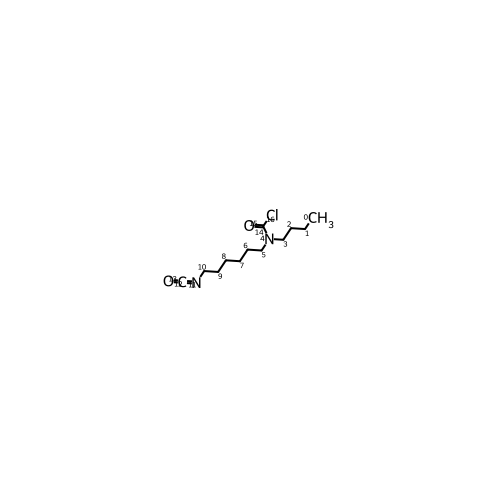 CCCCN(CCCCCCN=C=O)C(=O)Cl